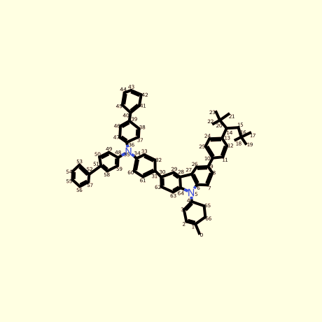 CC1=CC=C(n2c3ccc(-c4ccc(C(CC(C)(C)C)C(C)(C)C)cc4)cc3c3cc(-c4ccc(N(c5ccc(-c6ccccc6)cc5)c5ccc(-c6ccccc6)cc5)cc4)ccc32)CC1